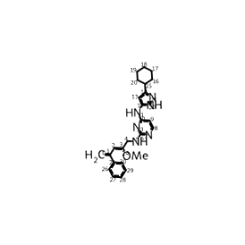 C=C(/C=C(/CNc1nccc(Nc2cc(C3CCCCC3)n[nH]2)n1)OC)c1ccccc1